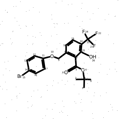 CC(C)(C)OC(=O)c1c(COc2ccc(Br)cc2)ccc(C(F)(F)F)c1O